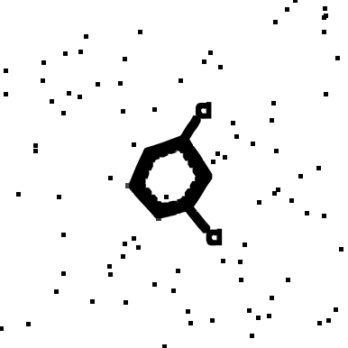 Clc1[c][c]cc(Cl)c1